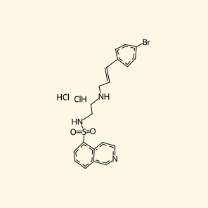 Cl.Cl.O=S(=O)(NCCNCC=Cc1ccc(Br)cc1)c1cccc2cnccc12